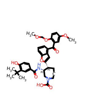 COCOc1ccc(OC)cc1C(=O)c1cccc2oc([C@@H]3CCCN(C(=O)O)C[C@@H]3NC(=O)c3ccc(O)c(C(C)(C)C)c3)cc12